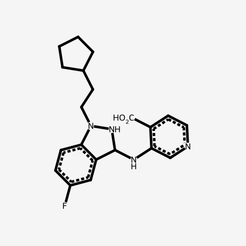 O=C(O)c1ccncc1NC1NN(CCC2CCCC2)c2ccc(F)cc21